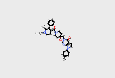 CC(C)(C)C1[C@@H](c2ccccc2)[C@H](C(=O)N2CCC(O)(Cn3cnc4c(ccn4-c4ccc(C#N)cc4)c3=O)CC2)CCN1C(=O)O